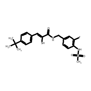 CC(C)(C)c1ccc(/C=C(\S)C(=O)NCc2ccc(NS(C)(=O)=O)c(F)c2)cc1